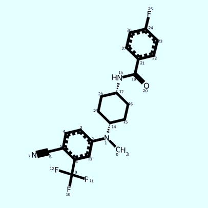 CN(c1ccc(C#N)c(C(F)(F)F)c1)[C@H]1CC[C@@H](NC(=O)c2ccc(F)cc2)CC1